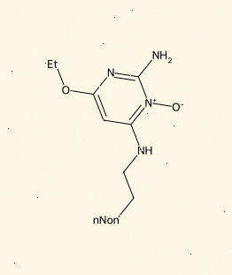 CCCCCCCCCCCNc1cc(OCC)nc(N)[n+]1[O-]